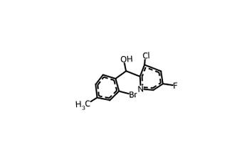 Cc1ccc(C(O)c2ncc(F)cc2Cl)c(Br)c1